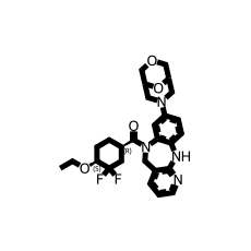 CCO[C@H]1CC[C@@H](C(=O)N2Cc3cccnc3Nc3ccc(N4CC5COCC(C4)O5)cc32)CC1(F)F